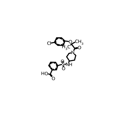 CC(C)(Oc1ccc(Cl)cc1)C(=O)N1CCC(NS(=O)(=O)c2cccc(C(=O)O)c2)CC1